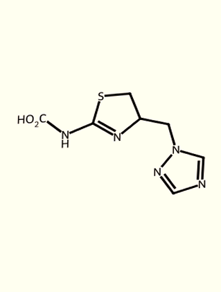 O=C(O)NC1=NC(Cn2cncn2)CS1